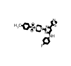 Cc1ccc(S(=O)(=O)N2CCN(c3nc(Nc4ccc(F)cc4)cc(-c4cncs4)n3)CC2)cc1